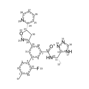 Cc1ccc(-c2cc(C(=O)N[C@@H](C)c3nnc[nH]3)cc(C3=NO[C@H](c4ccccn4)C3)c2)c(F)c1